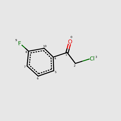 O=C(CCl)c1cccc(F)c1